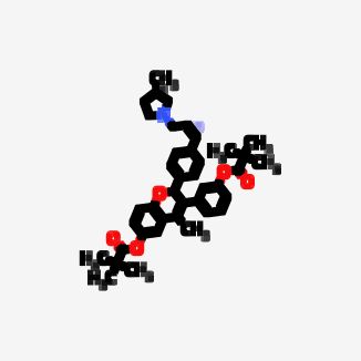 CC1=C(c2cccc(OC(=O)C(C)(C)C)c2)C(c2ccc(/C=C\CN3CC[C@@H](C)C3)cc2)Oc2ccc(OC(=O)C(C)(C)C)cc21